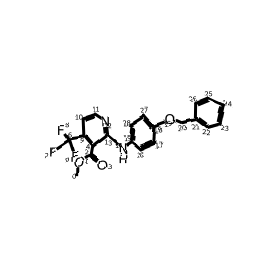 COC(=O)c1c(C(F)(F)F)ccnc1Nc1ccc(OCc2ccccc2)cc1